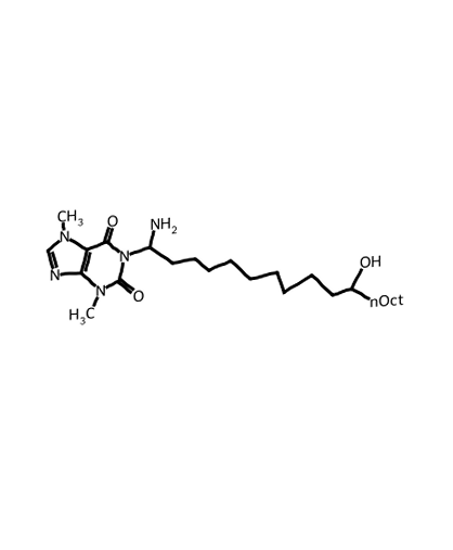 CCCCCCCCC(O)CCCCCCCCCC(N)n1c(=O)c2c(ncn2C)n(C)c1=O